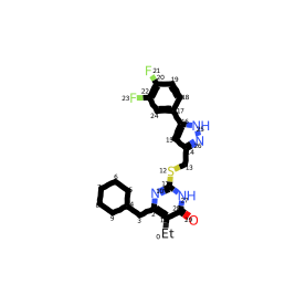 CCc1c(CC2CCCCC2)nc(SCc2cc(-c3ccc(F)c(F)c3)[nH]n2)[nH]c1=O